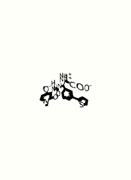 Cn1ccc([O-])c(NC(=O)N[C@@H](CC(=O)[O-])c2cccc(-c3cccs3)c2)c1=O.[Na+].[Na+]